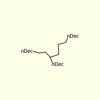 CCCCCCCCCCCCCC(CCCCCCCCCC)CCCCCCCCCCCC